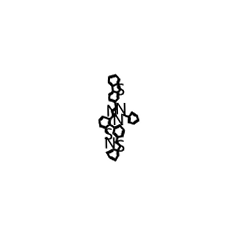 c1ccc(-c2nc(-c3ccc4c(c3)sc3ccccc34)nc(-c3cccc4sc5c(-c6nc7ccccc7s6)cccc5c34)n2)cc1